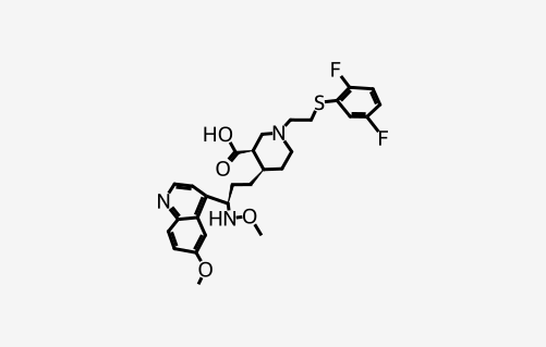 CON[C@H](CC[C@@H]1CCN(CCSc2cc(F)ccc2F)C[C@@H]1C(=O)O)c1ccnc2ccc(OC)cc12